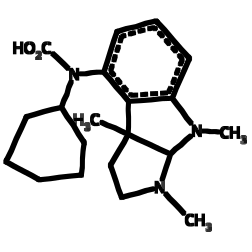 CN1CCC2(C)c3c(cccc3N(C(=O)O)C3CCCCC3)N(C)C12